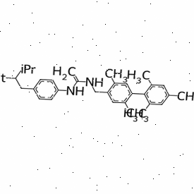 C=C(NCc1cc(C)c(-c2c(C)cc(C)cc2C)cc1C)Nc1ccc(CC(CC)C(C)C)cc1